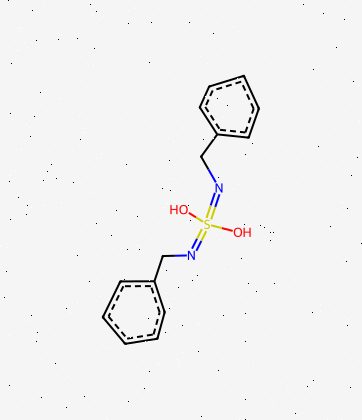 OS(O)(=NCc1ccccc1)=NCc1ccccc1